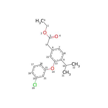 CCOC(=O)Cc1ccc(C(C)C)c(Oc2cccc(Cl)c2)c1